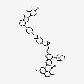 C#Cc1c(F)ccc2cc(O)cc(-c3ncc4c(N5CC6CCC(C5)N6)nc(OCC5(CN6CCC7(CC6)CC(N6CCC(c8cccc9c8CN(C8CCC(=O)NC8=O)C9=O)CC6)C7)CC5)nc4c3F)c12